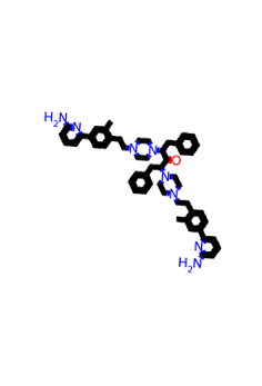 Cc1cc(-c2cccc(N)n2)ccc1CCN1CCN(C(Cc2ccccc2)C(=O)C(Cc2ccccc2)N2CCN(CCc3ccc(-c4cccc(N)n4)cc3C)CC2)CC1